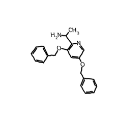 CC(N)c1ncc(OCc2ccccc2)cc1OCc1ccccc1